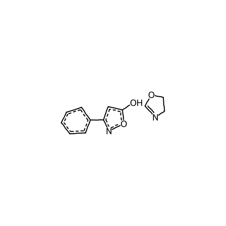 C1=NCCO1.Oc1cc(-c2ccccc2)no1